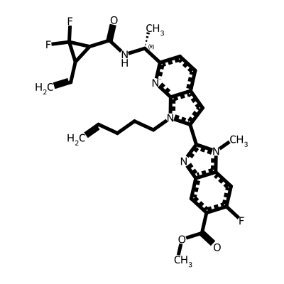 C=CCCCn1c(-c2nc3cc(C(=O)OC)c(F)cc3n2C)cc2ccc([C@@H](C)NC(=O)C3C(C=C)C3(F)F)nc21